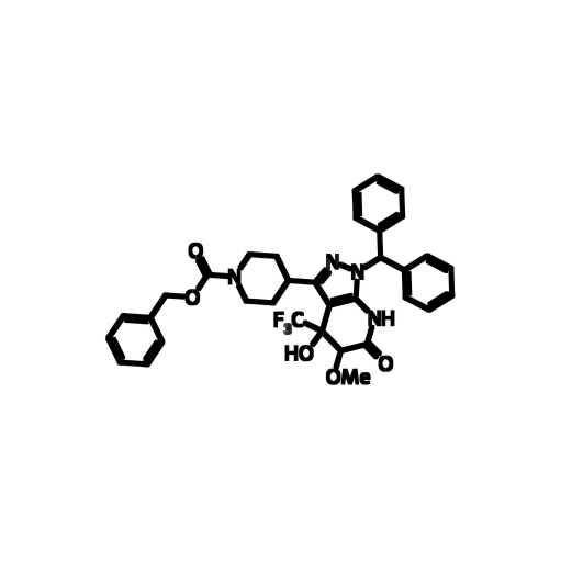 COC1C(=O)Nc2c(c(C3CCN(C(=O)OCc4ccccc4)CC3)nn2C(c2ccccc2)c2ccccc2)C1(O)C(F)(F)F